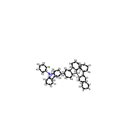 c1ccc(-c2cc3ccccc3cc2C2c3ccccc3-c3cc(-c4ccc5c(c4)c4ccccc4n5-c4ccccc4)ccc32)cc1